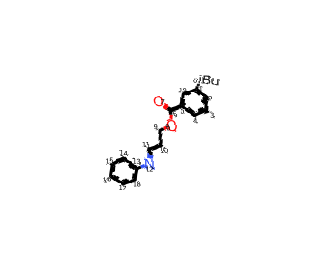 CCC(C)c1cccc(C(=O)OCCC=Nc2ccccc2)c1